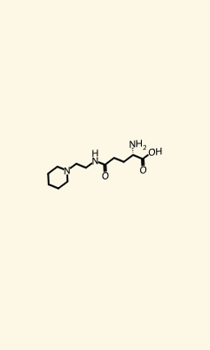 N[C@@H](CCC(=O)NCCN1CCCCC1)C(=O)O